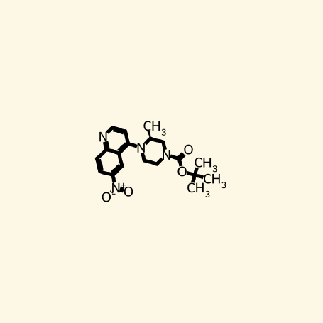 C[C@H]1CN(C(=O)OC(C)(C)C)CCN1c1ccnc2ccc([N+](=O)[O-])cc12